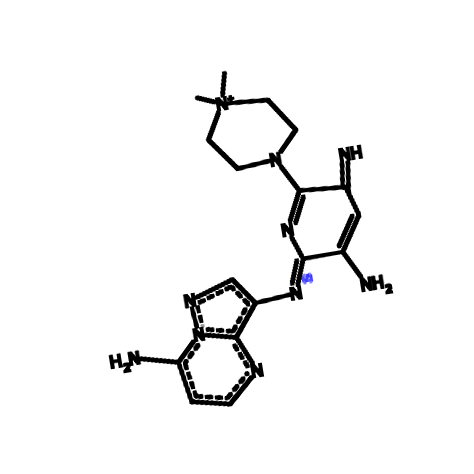 C[N+]1(C)CCN(C2=N/C(=N\c3cnn4c(N)ccnc34)C(N)=CC2=N)CC1